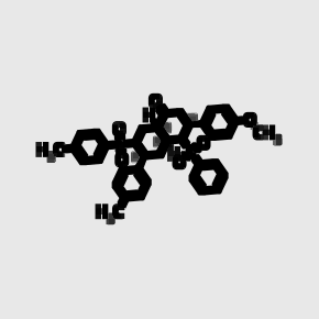 COc1ccc([C@@H]2CC(=O)[C@@H]3CC(S(=O)(=O)c4ccc(C)cc4)[C@H](c4ccc(C)cc4)C[C@@H]3C2S(=O)(=O)c2ccccc2)cc1